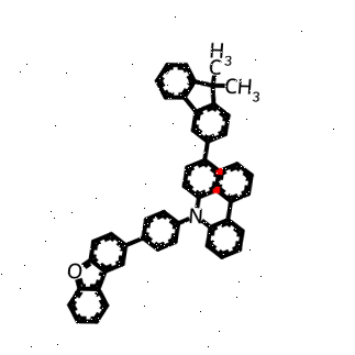 CC1(C)c2ccccc2-c2cc(-c3ccc(N(c4ccc(-c5ccc6oc7ccccc7c6c5)cc4)c4ccccc4-c4ccccc4)cc3)ccc21